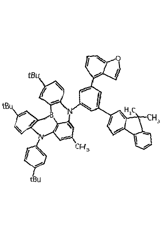 Cc1cc2c3c(c1)N(c1cc(-c4ccc5c(c4)C(C)(C)c4ccccc4-5)cc(-c4cccc5occc45)c1)c1ccc(C(C)(C)C)cc1B3c1cc(C(C)(C)C)ccc1N2c1ccc(C(C)(C)C)cc1